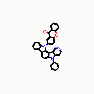 O=c1c2ccccc2oc2ccc(-n3c4ccccc4c4ccc5c(c6cnccc6n5-c5ccccc5)c43)cc12